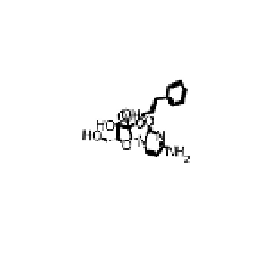 Nc1ccn([C@@H]2O[C@H](CO)C(O)(O)[C@]2(O)OCC=Cc2ccccc2)c(=O)n1